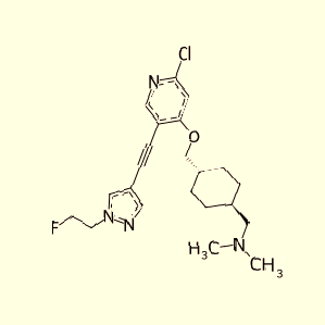 CN(C)C[C@H]1CC[C@H](COc2cc(Cl)ncc2C#Cc2cnn(CCF)c2)CC1